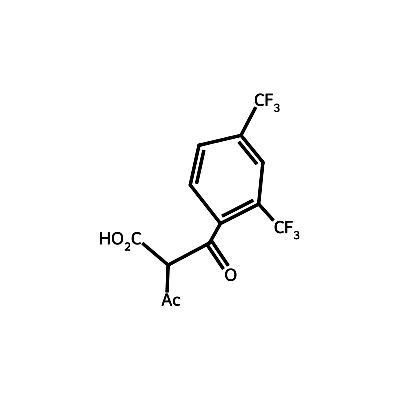 CC(=O)C(C(=O)O)C(=O)c1ccc(C(F)(F)F)cc1C(F)(F)F